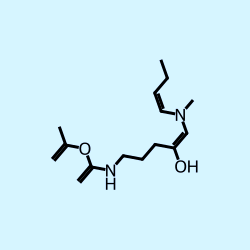 C=C(C)OC(=C)NCCC/C(O)=C\N(C)/C=C\CC